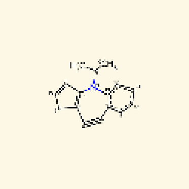 CC(C)N1C2=C(C#Cc3ccccc31)CC=C2